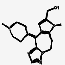 CN1CCC(=C2c3cc(CO)n(C)c3CCn3ncnc32)CC1